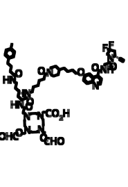 C#C[C@H]1CC(F)(F)CN1C(=O)CNC(=O)c1ccnc2ccc(OCCCCC3CCN(C(=O)CCCCCNC(=O)C(CCCCNC(=O)CCCc4ccc(C)cc4)NC(=O)CN4CCN(COC=O)CCN(COC=O)CCN(CC(=O)O)CC4)CC3)cc12